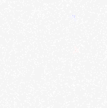 c1ccc(-c2nc3ccccc3c3c(-c4cccc(-c5ccc(-c6cc7ccccc7c7ccccc67)cc5)c4)c4c(cc23)oc2ccccc24)cc1